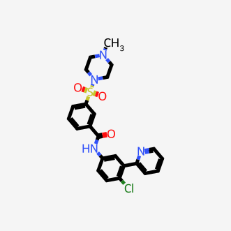 CN1CCN(S(=O)(=O)c2cccc(C(=O)Nc3ccc(Cl)c(-c4ccccn4)c3)c2)CC1